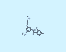 Cc1ccc(C(=O)Nc2cc(OCCN(C)C)cc(C(F)(F)F)c2)c(F)c1